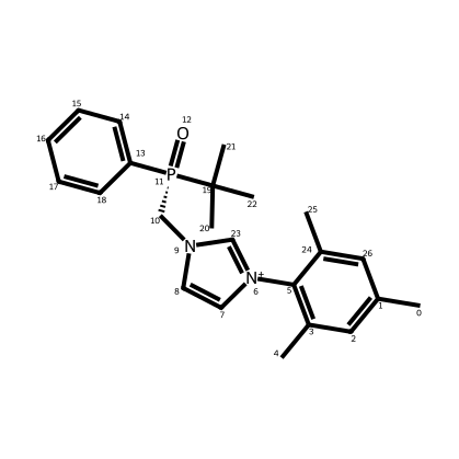 Cc1cc(C)c(-[n+]2ccn(C[P@@](=O)(c3ccccc3)C(C)(C)C)c2)c(C)c1